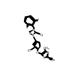 Cc1nc(C#N)sc1Oc1ccc(-n2ncn(Cc3c(F)cccc3F)c2=O)cc1Cl